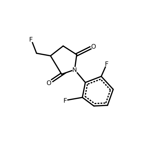 O=C1CC(CF)C(=O)N1c1c(F)cccc1F